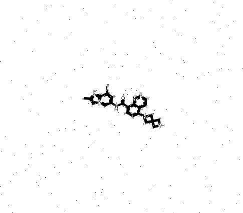 Cc1cn2cc(NC(=O)c3ccc(N4CC5(CNC5)C4)c4ccnnc34)cc(F)c2n1